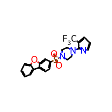 O=S(=O)(c1ccc2c(c1)oc1ccccc12)N1CCN(c2ncccc2C(F)(F)F)CC1